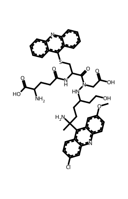 COc1ccc2nc3cc(Cl)ccc3c(C(C)(N)CCC(CCO)NN(CC(=O)O)C(=O)C(CSc3c4ccccc4nc4ccccc34)NC(=O)CCC(N)C(=O)O)c2c1